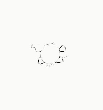 Cc1ccc2nc1-c1ccccc1CCCCCN(CCCC(=O)O)c1cccc(n1)S(=O)(=O)N2